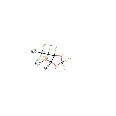 COC1(C)OC(F)(F)OC1(F)C(F)(F)C(C)(F)F